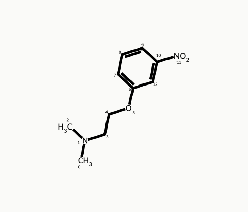 CN(C)CCOc1cc[c]c([N+](=O)[O-])c1